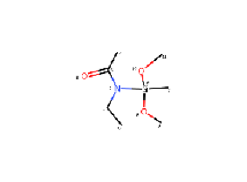 CCN(C(C)=O)[Si](C)(OC)OC